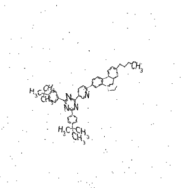 CCCCc1ccc2c(c1)[C@]13CCC[C@]1(CCC3)c1cc(-c3ccc(-c4nc(-c5ccc(C(C)(C)C)cc5)nc(-c5ccc(C(C)(C)C)cc5)n4)cn3)ccc1-2